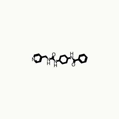 O=C(NCc1ccncc1)NC1CCC(NC(=O)c2ccccc2)CC1